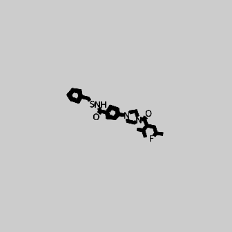 CC(F)CC(C(=O)N1CCN(c2ccc(C(=O)NSCc3ccccc3)cc2)CC1)C(C)C